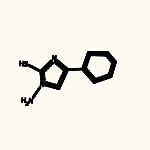 Nn1cc(-c2ccccc2)nc1S